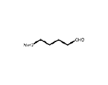 COCCCCC=O